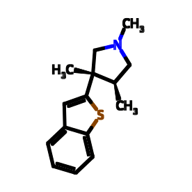 C[C@@H]1CN(C)C[C@@]1(C)c1cc2ccccc2s1